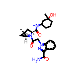 CC1(O)CCCC(NC(=O)[C@@H]2C[C@H]3C[C@H]3N2C(=O)Cn2nc(C(N)=O)c3ccccc32)C1